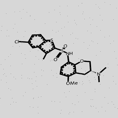 COc1ccc(NS(=O)(=O)c2sc3ccc(Cl)cc3c2C)c2c1C[C@@H](N(C)C)CO2